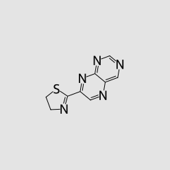 c1ncc2ncc(C3=NCCS3)nc2n1